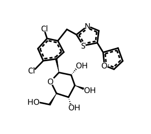 OC[C@H]1O[C@@H](c2cc(Cc3ncc(-c4ccco4)s3)c(Cl)cc2Cl)[C@H](O)[C@@H](O)[C@@H]1O